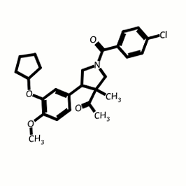 COc1ccc(C2CN(C(=O)c3ccc(Cl)cc3)CC2(C)C(C)=O)cc1OC1CCCC1